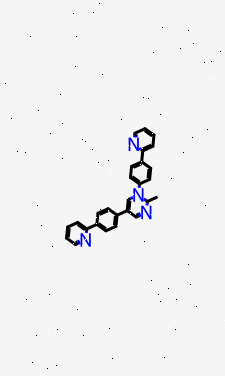 CC1N=CC(c2ccc(-c3ccccn3)cc2)=CN1c1ccc(-c2ccccn2)cc1